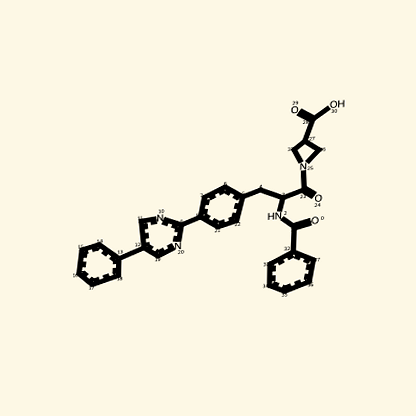 O=C(NC(Cc1ccc(-c2ncc(-c3ccccc3)cn2)cc1)C(=O)N1CC(C(=O)O)C1)c1ccccc1